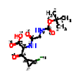 CC(C)(C)OC(=O)NCC(=O)NC(C(=O)O)C(=O)C1CC1F